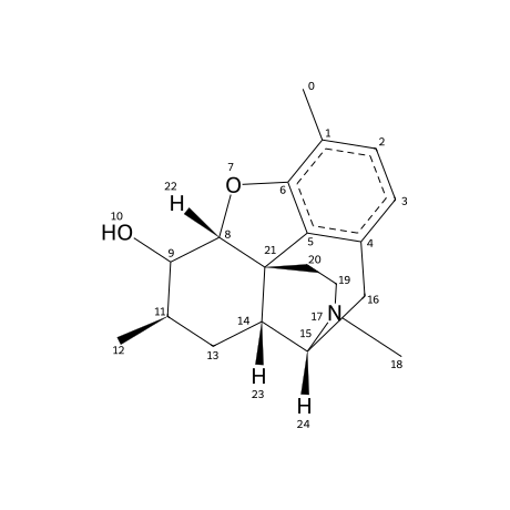 Cc1ccc2c3c1O[C@H]1C(O)[C@H](C)C[C@H]4[C@@H](C2)N(C)CC[C@]314